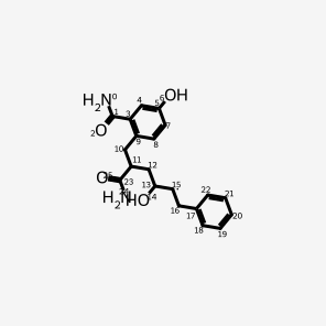 NC(=O)c1cc(O)ccc1CC(CC(O)[CH]Cc1ccccc1)C(N)=O